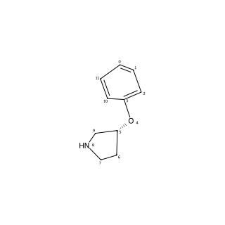 c1ccc(O[C@@H]2CCNC2)cc1